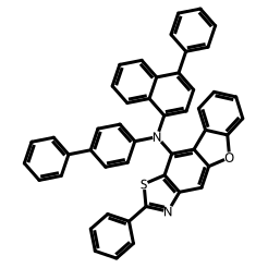 c1ccc(-c2ccc(N(c3ccc(-c4ccccc4)c4ccccc34)c3c4sc(-c5ccccc5)nc4cc4oc5ccccc5c34)cc2)cc1